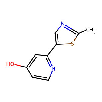 Cc1ncc(-c2cc(O)ccn2)s1